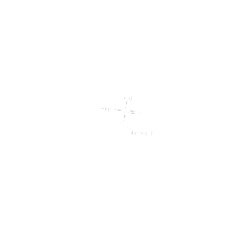 CCCCCOP(=O)(O)OCC(C)C